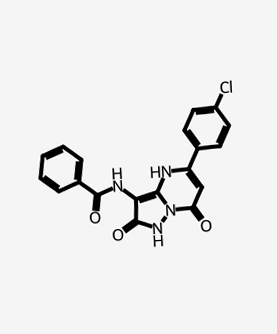 O=C(Nc1c(=O)[nH]n2c(=O)cc(-c3ccc(Cl)cc3)[nH]c12)c1ccccc1